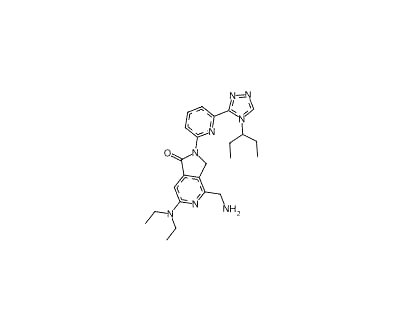 CCC(CC)n1cnnc1-c1cccc(N2Cc3c(cc(N(CC)CC)nc3CN)C2=O)n1